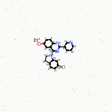 CCOc1ccc2nc(-c3cccnc3)nc(N3CCc4ccc(Cl)cc43)c2c1